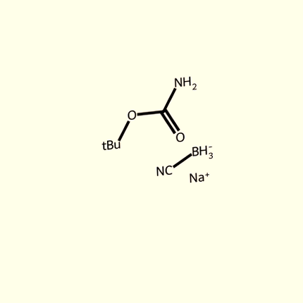 CC(C)(C)OC(N)=O.[BH3-]C#N.[Na+]